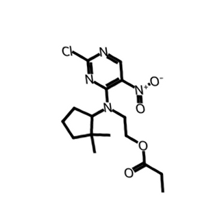 CCC(=O)OCCN(c1nc(Cl)ncc1[N+](=O)[O-])C1CCCC1(C)C